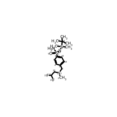 CN(Cc1ccc(S(N)(=O)=N[Si](C)(C)C(C)(C)C)cc1)CC(F)F